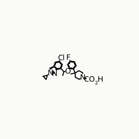 CC(OCC1(c2ccc(F)cc2)CCN(C(=O)O)CC1)c1cc(Cl)cc2cn(C3CC3)nc12